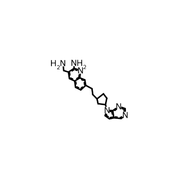 NCc1cc2ccc(CCC3CCC(n4ccc5cncnc54)C3)cc2nc1N